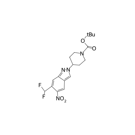 CC(C)(C)OC(=O)N1CCC(n2cc3cc([N+](=O)[O-])c(C(F)F)cc3n2)CC1